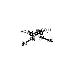 C=CC(=O)OCCCCOC(=O)Oc1ccc(C(=O)O)c(C)c1-c1ccc(-c2c(OC(=O)OCCCCOC(=O)C=C)ccc(C(=O)O)c2C)c(OC)c1